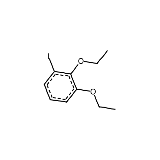 CCOc1cccc(I)c1OCC